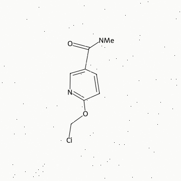 CNC(=O)c1ccc(OCCl)nc1